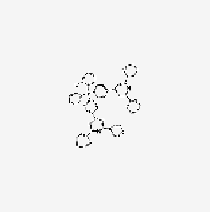 c1ccc(-c2nc(-c3ccccc3)nc(-c3ccc(C4(c5ccc(-c6cc(-c7ccccn7)nc(-c7ccccn7)c6)cc5)c5ccccc5Sc5ccccc54)cc3)n2)cc1